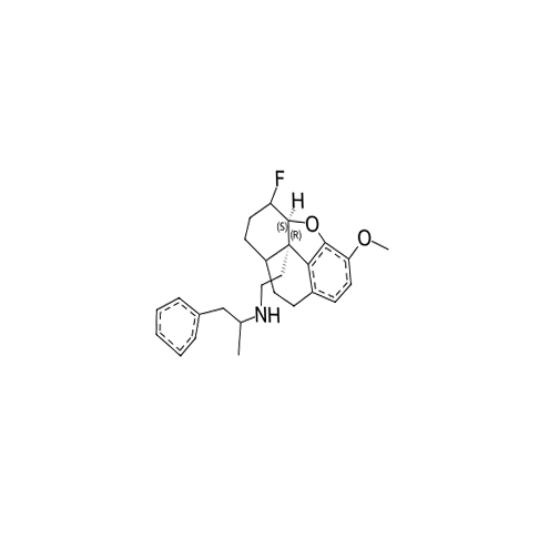 COc1ccc2c3c1O[C@@H]1C(F)CCC(CC2)[C@]31CCNC(C)Cc1ccccc1